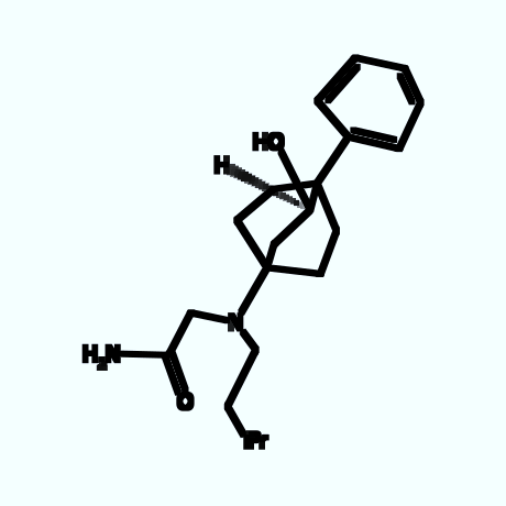 CC(C)CCN(CC(N)=O)C12CCC(c3ccccc3)(CC1)[C@H](O)C2